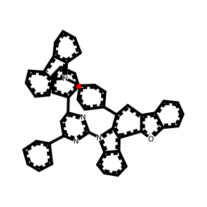 c1ccc(-c2cc(-c3ccccc3)nc(-n3c4ccccc4c4c5oc6ccccc6c5cc(-c5ccc(-n6c7ccccc7c7ccccc76)cc5)c43)n2)cc1